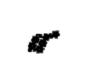 N#Cc1ccc(-c2ccc(=O)n(Cc3cccc(-c4ncc(-c5cnn(CCN6CCCC6)c5)cn4)c3)n2)cc1